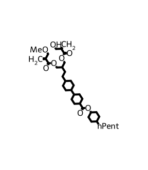 C=C(CO)C(=O)OCC(CCC1CCC(C2CCC(C(=O)OC3CCC(CCCCC)CC3)CC2)CC1)COC(=O)C(=C)COC